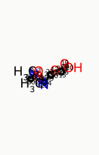 CN(C(=O)OCc1c(-c2ccc(O[C@@H]3CCC[C@@H](C(=O)O)C3)cc2)cnn1C)C1CCCC1